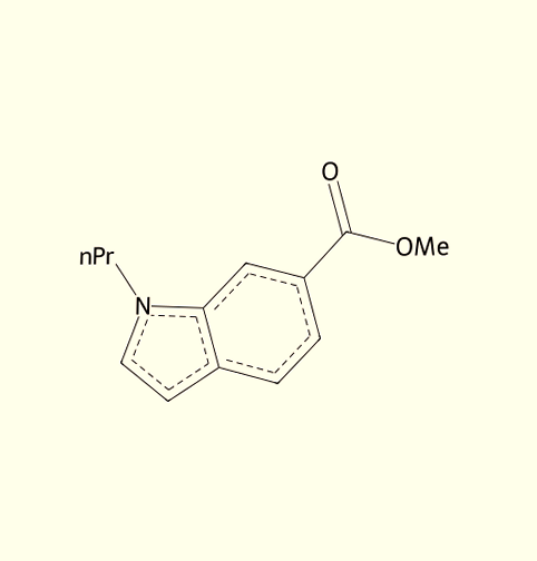 CCCn1ccc2ccc(C(=O)OC)cc21